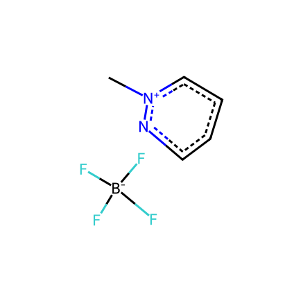 C[n+]1ccccn1.F[B-](F)(F)F